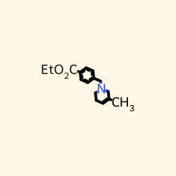 CCOC(=O)c1ccc(CN2CCC=C(C)C2)cc1